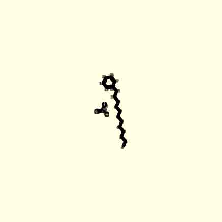 CCCCCCCCCCCCc1ccccc1.O=S(=O)=O